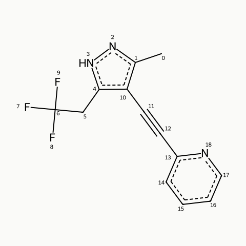 Cc1n[nH]c(CC(F)(F)F)c1C#Cc1ccccn1